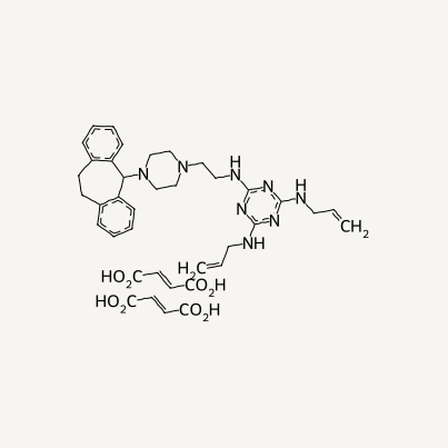 C=CCNc1nc(NCC=C)nc(NCCN2CCN(C3c4ccccc4CCc4ccccc43)CC2)n1.O=C(O)/C=C/C(=O)O.O=C(O)/C=C/C(=O)O